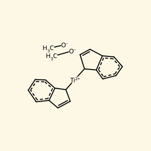 C1=C[CH]([Ti+2][CH]2C=Cc3ccccc32)c2ccccc21.C[O-].C[O-]